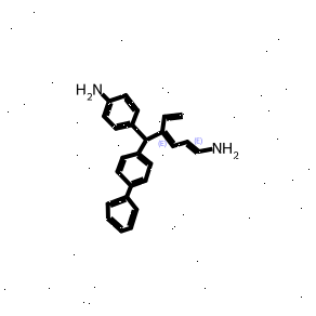 C=C/C(=C\C=C\N)C(c1ccc(N)cc1)c1ccc(-c2ccccc2)cc1